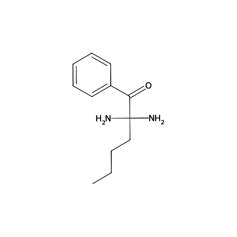 CCCCC(N)(N)C(=O)c1ccccc1